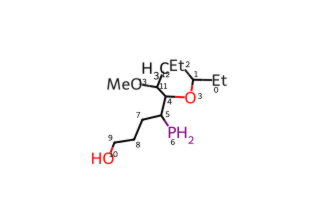 CCC(CC)OC(C(P)CCCO)C(C)OC